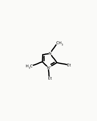 CCc1n(C)cc(C)[n+]1CC